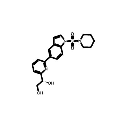 O=S(=O)(N1CCCCC1)n1ccc2cc(-c3cccc([C@H](O)CO)n3)ccc21